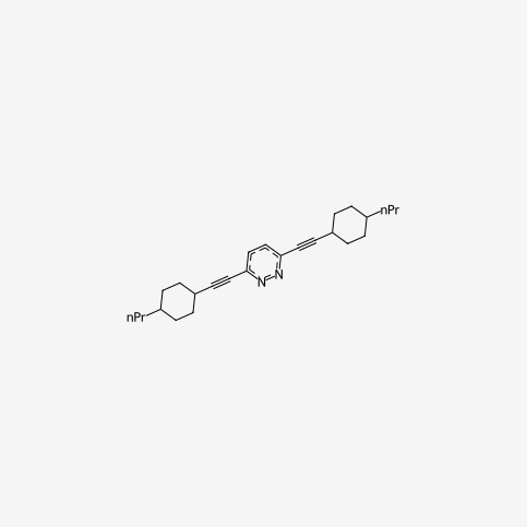 CCCC1CCC(C#Cc2ccc(C#CC3CCC(CCC)CC3)nn2)CC1